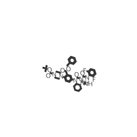 CC(C)(C)OC(=O)N1CCN(c2ccc(N(C(=O)N(N=N)C(=O)Nc3c(F)cccc3F)C3CCCCC3)cc2C(=O)OCc2ccccc2)CC1